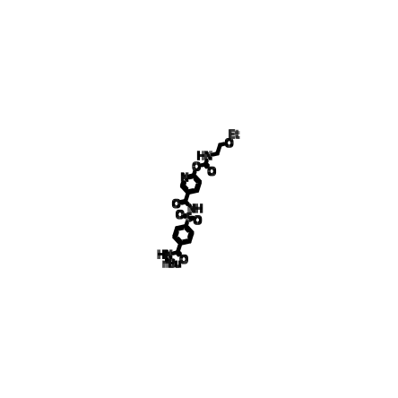 CCCCNC(=O)c1ccc(S(=O)(=O)NC(=O)c2ccc(OC(=O)NCCOCC)nc2)cc1